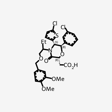 CCC(COCc1ccc(OC)c(OC)c1)N1C(=O)[C@@H](CC(=O)O)O[C@H](c2cccc(Cl)c2)[C@H]1c1ccc(Cl)s1